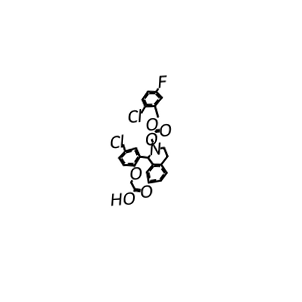 O=C(O)COc1ccc(Cl)cc1C1c2ccccc2CCN1OC(=O)OCc1cc(F)ccc1Cl